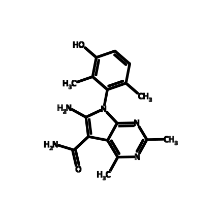 Cc1nc(C)c2c(C(N)=O)c(N)n(-c3c(C)ccc(O)c3C)c2n1